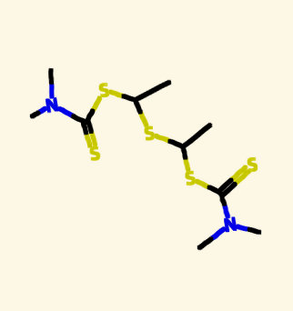 CC(SC(=S)N(C)C)SC(C)SC(=S)N(C)C